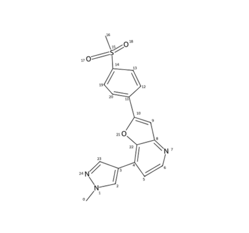 Cn1cc(-c2ccnc3cc(-c4ccc(S(C)(=O)=O)cc4)oc23)cn1